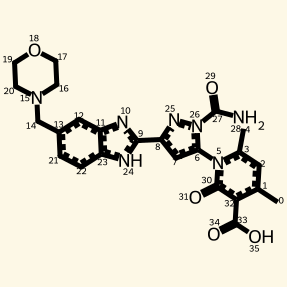 Cc1cc(C)n(-c2[c]c(-c3nc4cc(CN5CCOCC5)ccc4[nH]3)nn2C(N)=O)c(=O)c1C(=O)O